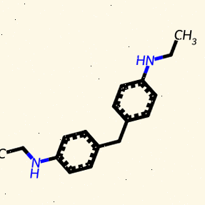 CCNc1ccc(Cc2ccc(NCC)cc2)cc1